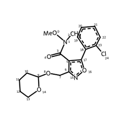 CON(C)C(=O)c1c(COC2CCCCO2)noc1-c1ccccc1Cl